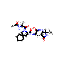 CC1(C)C[C@@H](C[C@H](NC(=O)[C@@H]2CC3(CCCCC3)CN2C(=O)[C@@H](NC(=O)C(F)(F)F)C(C)(C)C)C(N)=O)C(=O)N1